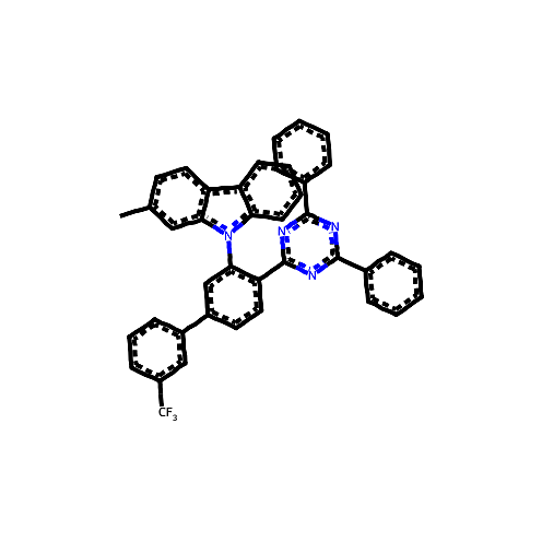 Cc1ccc2c3ccccc3n(-c3cc(-c4cccc(C(F)(F)F)c4)ccc3-c3nc(-c4ccccc4)nc(-c4ccccc4)n3)c2c1